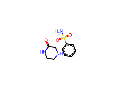 NS(=O)(=O)c1ccccc1.O=C1CNCCN1